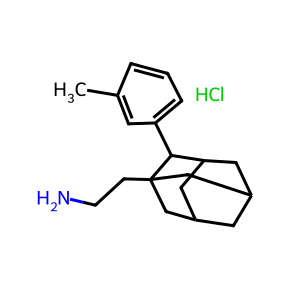 Cc1cccc(C2C3CC4CC(C3)CC2(CCN)C4)c1.Cl